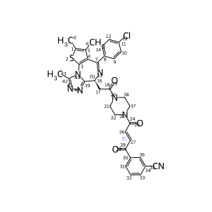 Cc1sc2c(c1C)C(c1ccc(Cl)cc1)=N[C@@H](CC(=O)N1CCN(C(=O)/C=C/C(=O)c3cccc(C#N)c3)CC1)c1nnc(C)n1-2